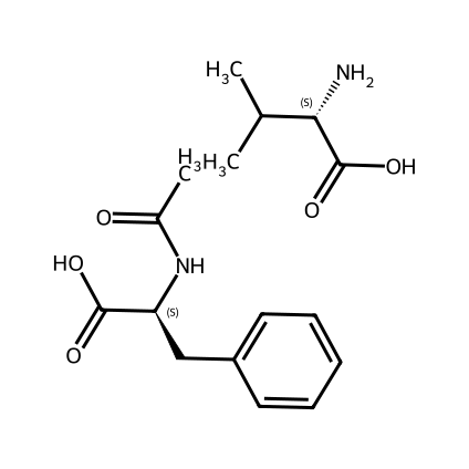 CC(=O)N[C@@H](Cc1ccccc1)C(=O)O.CC(C)[C@H](N)C(=O)O